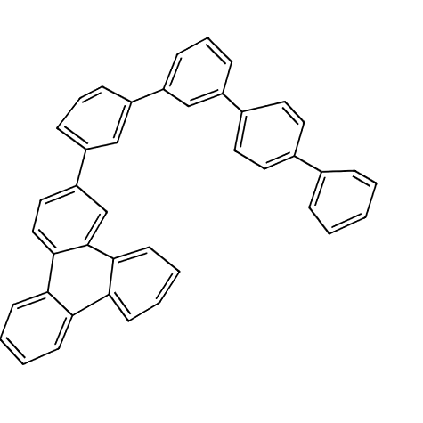 c1ccc(-c2ccc(-c3cccc(-c4cccc(-c5ccc6c7ccccc7c7ccccc7c6c5)c4)c3)cc2)cc1